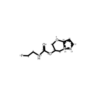 O=C(NCCF)OC1COc2ccnn2C1